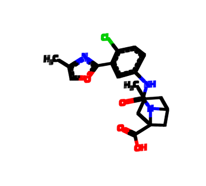 Cc1coc(-c2cc(NC(=O)N3C4CC(C)CC3(C(=O)O)C4)ccc2Cl)n1